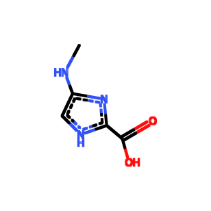 CNc1c[nH]c(C(=O)O)n1